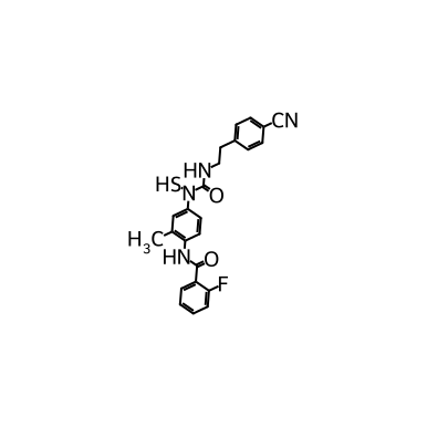 Cc1cc(N(S)C(=O)NCCc2ccc(C#N)cc2)ccc1NC(=O)c1ccccc1F